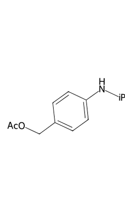 CC(=O)OCc1ccc(NC(C)C)cc1